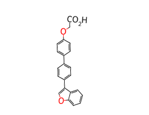 O=C(O)COc1ccc(-c2ccc(-c3coc4ccccc34)cc2)cc1